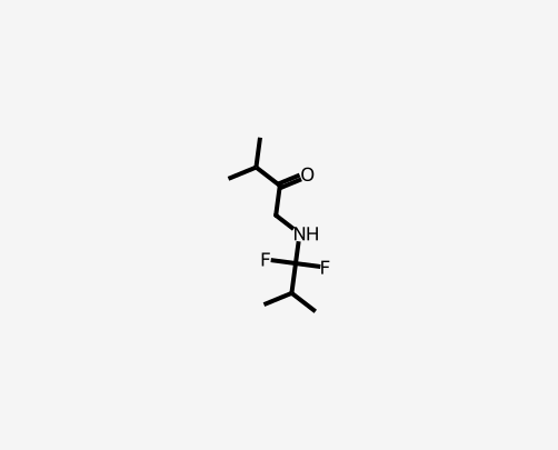 CC(C)C(=O)CNC(F)(F)C(C)C